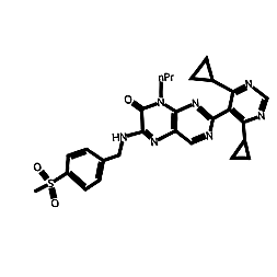 CCCn1c(=O)c(NCc2ccc(S(C)(=O)=O)cc2)nc2cnc(-c3c(C4CC4)ncnc3C3CC3)nc21